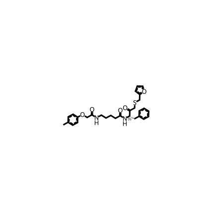 Cc1ccc(OCC(=O)NCCCCC(=O)N[C@@H](Cc2ccccc2)C(=O)CSCc2ccco2)cc1